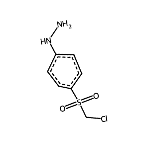 NNc1ccc(S(=O)(=O)CCl)cc1